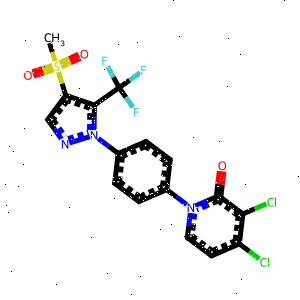 CS(=O)(=O)c1cnn(-c2ccc(-n3ccc(Cl)c(Cl)c3=O)cc2)c1C(F)(F)F